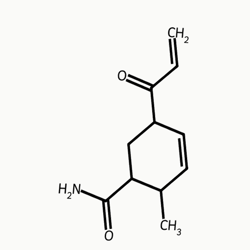 C=CC(=O)C1C=CC(C)C(C(N)=O)C1